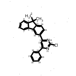 CC1(C)c2ccccc2-c2cc(-c3cc(-c4ccccc4)nc(Cl)n3)ccc21